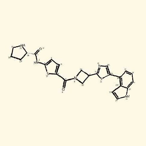 O=C(Nc1ccc(C(=O)N2CC(c3ncc(-c4cccc5[nH]ccc45)s3)C2)s1)[C@@H]1CCCN1